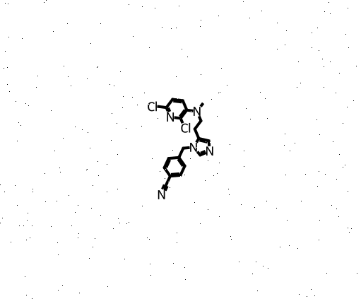 CN(CCc1cncn1Cc1ccc(C#N)cc1)c1ccc(Cl)nc1Cl